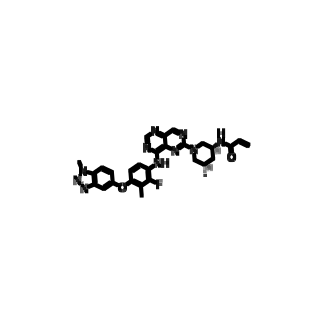 C=CC(=O)N[C@H]1C[C@H](C)CN(c2ncc3ncnc(Nc4ccc(Oc5ccc6c(c5)nnn6C)c(C)c4F)c3n2)C1